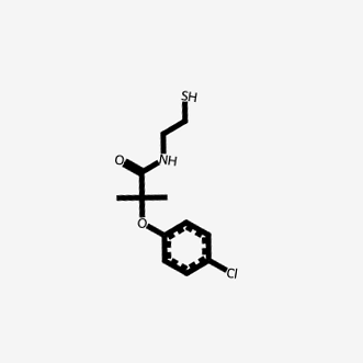 CC(C)(Oc1ccc(Cl)cc1)C(=O)NCCS